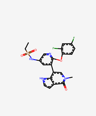 CCS(=O)(=O)Nc1cnc(Oc2ccc(F)cc2F)c(-c2cn(C)c(=O)c3cc[nH]c23)c1